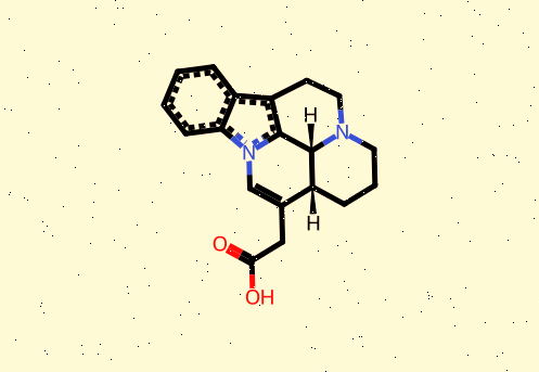 O=C(O)CC1=Cn2c3c(c4ccccc42)CCN2CCC[C@H]1[C@H]32